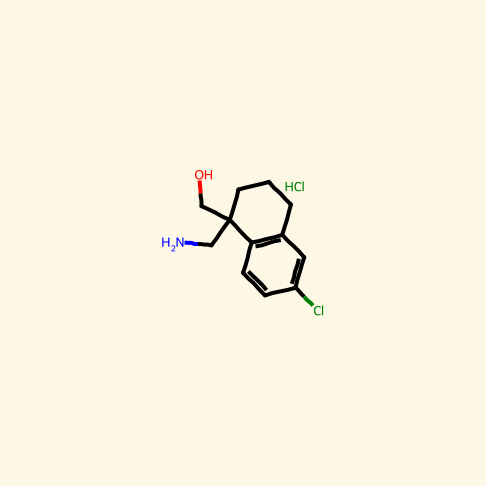 Cl.NCC1(CO)CCCc2cc(Cl)ccc21